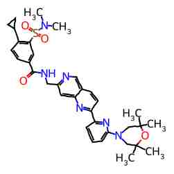 CN(C)S(=O)(=O)c1cc(C(=O)NCc2cc3nc(-c4cccc(N5CC(C)(C)OC(C)(C)C5)n4)ccc3cn2)ccc1C1CC1